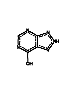 Oc1ncnc2n[nH][c]c12